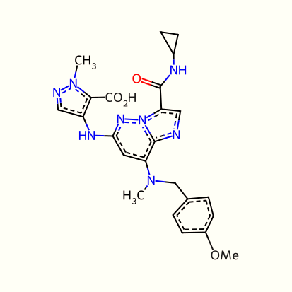 COc1ccc(CN(C)c2cc(Nc3cnn(C)c3C(=O)O)nn3c(C(=O)NC4CC4)cnc23)cc1